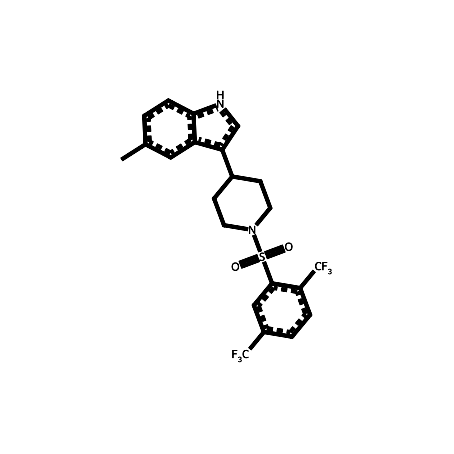 Cc1ccc2[nH]cc(C3CCN(S(=O)(=O)c4cc(C(F)(F)F)ccc4C(F)(F)F)CC3)c2c1